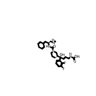 CNC[C@H](CC1CCCCC1)NC(=O)N1CCC[C@@H]([C@@](O)(CCCNC(=O)O)c2cccc(F)c2F)C1